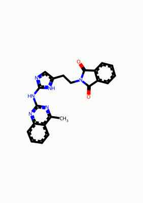 Cc1nc(Nc2ncc(CCN3C(=O)c4ccccc4C3=O)[nH]2)nc2ccccc12